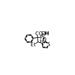 CCC(c1ccsc1)C(C(=O)O)(c1ccccc1)[PH](=O)O